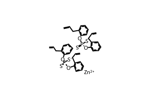 C=CCc1ccccc1OP(=S)([S-])Oc1ccccc1CC=C.C=CCc1ccccc1OP(=S)([S-])Oc1ccccc1CC=C.[Zn+2]